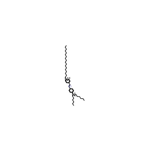 CCCCCCCCCCCCCCCCCC[n+]1ccc(/C=C/c2ccc(N(CCCCCC)CCCCCC)cc2)cc1